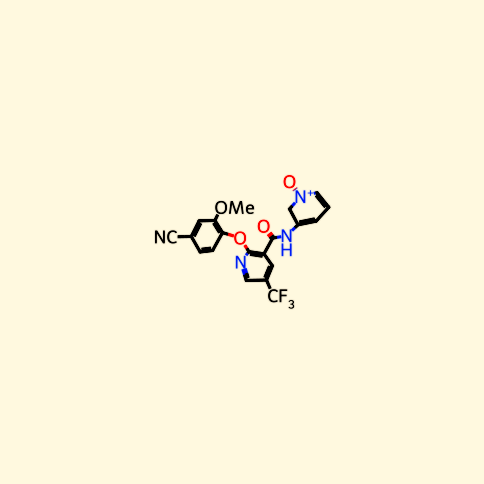 COc1cc(C#N)ccc1Oc1ncc(C(F)(F)F)cc1C(=O)NC1=CC=C[N+](=O)C1